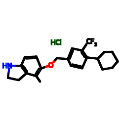 Cc1c(OCc2ccc(C3CCCCC3)c(C(F)(F)F)c2)ccc2c1CCN2.Cl